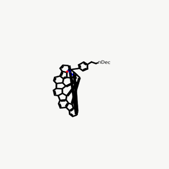 CCCCCCCCCCCCc1ccc(C2N(C)CC34C5=C6C=CC7C8C6=C3c3c6c9c%10c%11c(ccc%12c%13ccc%14c%15c(c3c9c(c%11%12)c%15%13)C24C=%14C=C5)C2C=CC7C(C=68)C%102)cc1